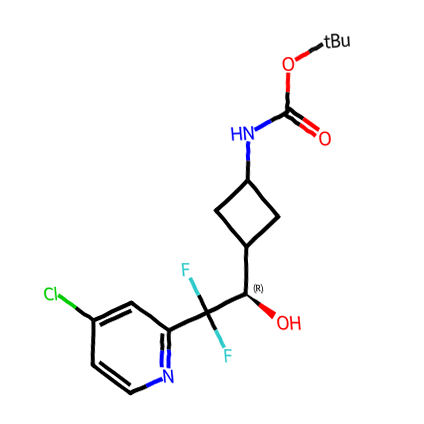 CC(C)(C)OC(=O)NC1CC([C@@H](O)C(F)(F)c2cc(Cl)ccn2)C1